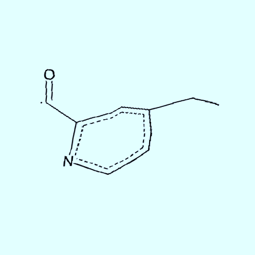 CCc1ccnc([C]=O)c1